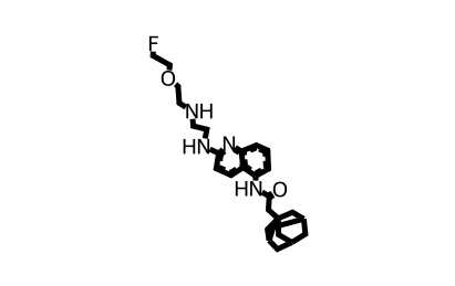 O=C(CC12CC3CC(CC(C3)C1)C2)Nc1cccc2nc(NCCNCCOCCF)ccc12